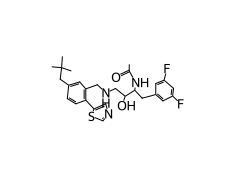 CC(=O)NC(Cc1cc(F)cc(F)c1)C(O)CNCc1cc(CC(C)(C)C)ccc1-c1cncs1